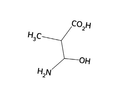 CC(C(=O)O)C(N)O